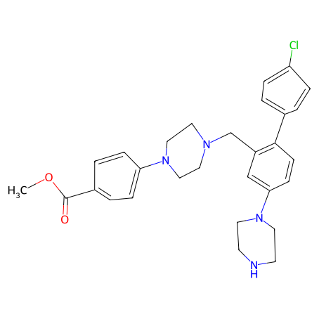 COC(=O)c1ccc(N2CCN(Cc3cc(N4CCNCC4)ccc3-c3ccc(Cl)cc3)CC2)cc1